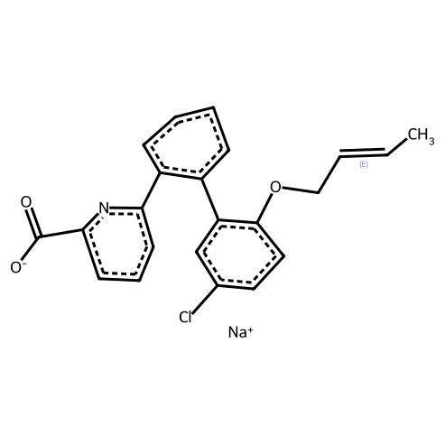 C/C=C/COc1ccc(Cl)cc1-c1ccccc1-c1cccc(C(=O)[O-])n1.[Na+]